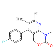 CC(C)c1nc2c(c(-c3ccc(F)cc3)c1C=O)COC(=O)N2C